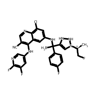 BC(Nc1cc(Cl)c2ncc(C#N)c(Nc3cnc(F)c(F)c3)c2c1)(C1=CN([C@@H](C)CF)NN1)c1ccc(F)cc1